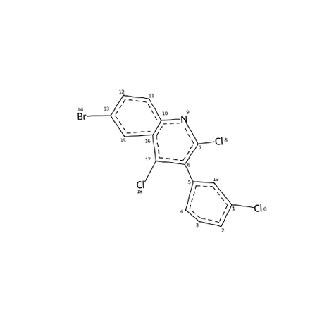 Clc1cccc(-c2c(Cl)nc3ccc(Br)cc3c2Cl)c1